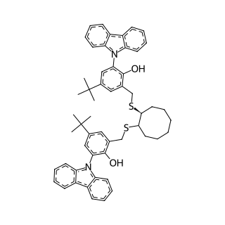 CC(C)(C)c1cc(CSC2CCCCCC[C@@H]2SCc2cc(C(C)(C)C)cc(-n3c4ccccc4c4ccccc43)c2O)c(O)c(-n2c3ccccc3c3ccccc32)c1